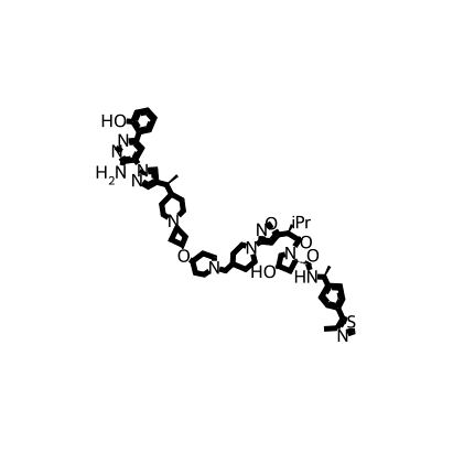 Cc1ncsc1-c1ccc([C@H](C)NC(=O)[C@@H]2C[C@@H](O)CN2C(=O)[C@@H](c2cc(N3CCC(CN4CCC(O[C@H]5C[C@H](N6CCC([C@H](C)c7cnn(-c8cc(-c9ccccc9O)nnc8N)c7)CC6)C5)CC4)CC3)no2)C(C)C)cc1